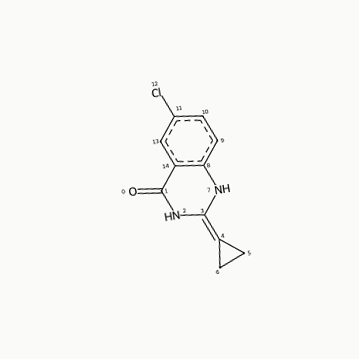 O=C1NC(=C2CC2)Nc2ccc(Cl)cc21